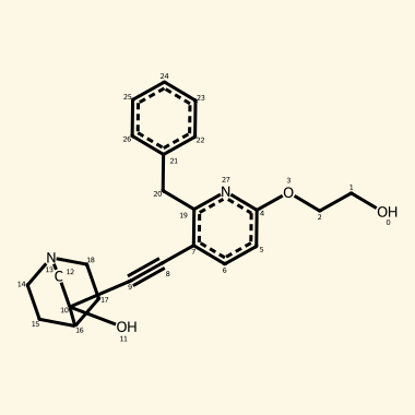 OCCOc1ccc(C#CC2(O)CN3CCC2CC3)c(Cc2ccccc2)n1